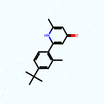 Cc1cc(=O)cc(-c2ccc(C(C)(C)C)cc2C)[nH]1